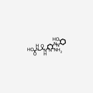 Nc1nc(NC(=O)CNC(=O)O)ccc1N=Nc1ccccc1O